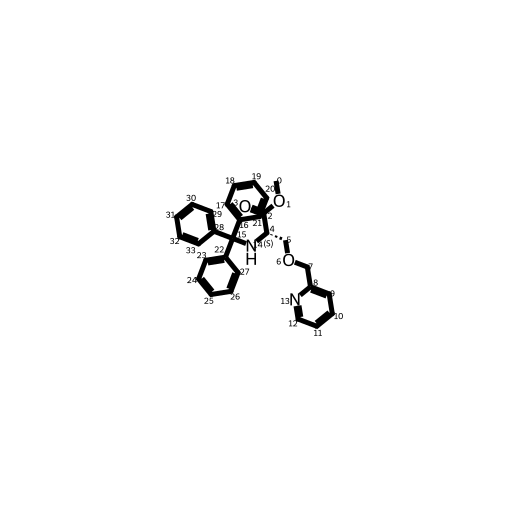 COC(=O)[C@H](COCc1ccccn1)NC(c1ccccc1)(c1ccccc1)c1ccccc1